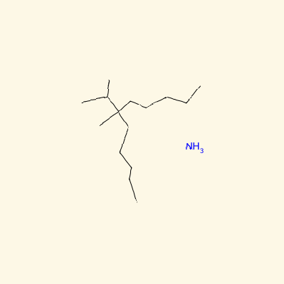 CCCCCC(C)(CCCCC)C(C)C.N